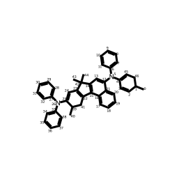 CC1C=CC(N(c2ccccc2)c2cc3c(c4ccccc24)C2=C(C=C(N(c4ccccc4)c4ccccc4)C(C)C2)C3(C)C)=CC1